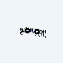 Cc1cc(/N=N/c2ccc([N+](=O)[O-])cc2)ccc1O